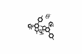 CC1=Cc2c(cc(-c3ccc(C)cc3)cc2-n2cccn2)[C@@H]1[Zr+2]([C@H]1C(C)=Cc2c1cc(-c1ccc(C)cc1)cc2-n1cccn1)=[Si](C)C.[Cl-].[Cl-]